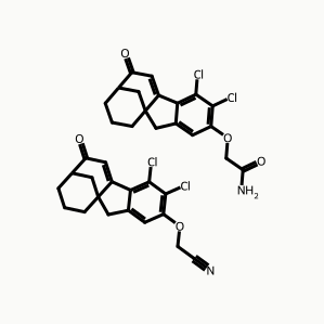 N#CCOc1cc2c(c(Cl)c1Cl)C1=CC(=O)C3CCCC1(C2)C3.NC(=O)COc1cc2c(c(Cl)c1Cl)C1=CC(=O)C3CCCC1(C2)C3